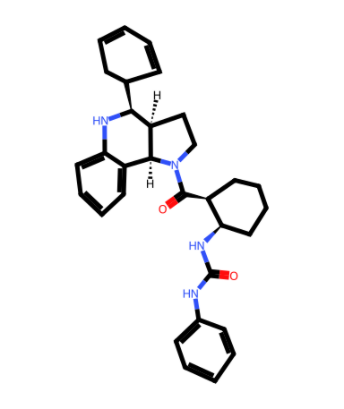 O=C(Nc1ccccc1)N[C@@H]1CCCC[C@@H]1C(=O)N1CC[C@@H]2[C@H](C3C=CC=CC3)Nc3ccccc3[C@@H]21